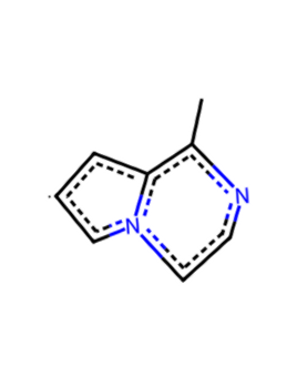 Cc1nccn2c[c]cc12